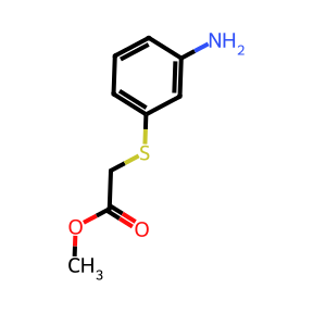 COC(=O)CSc1cccc(N)c1